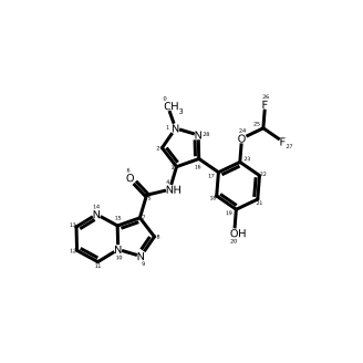 Cn1cc(NC(=O)c2cnn3cccnc23)c(-c2cc(O)ccc2OC(F)F)n1